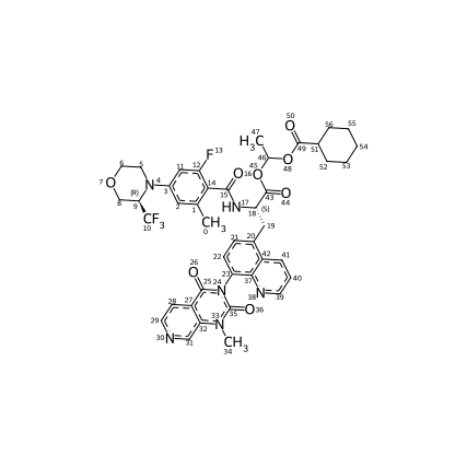 Cc1cc(N2CCOC[C@@H]2C(F)(F)F)cc(F)c1C(=O)N[C@@H](Cc1ccc(-n2c(=O)c3ccncc3n(C)c2=O)c2ncccc12)C(=O)OC(C)OC(=O)C1CCCCC1